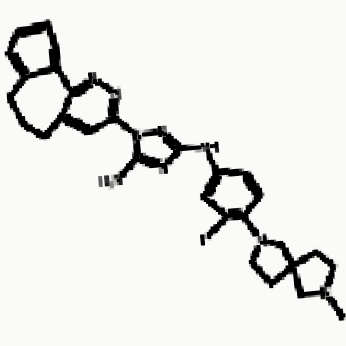 CN1CCC2(CCN(c3ccc(Nc4nc(N)n(-c5cc6c(nn5)-c5ccccc5CCC6)n4)cc3F)C2)C1